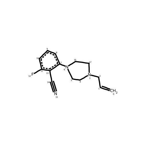 C=CCN1CCN(c2cccc(F)c2C#N)CC1